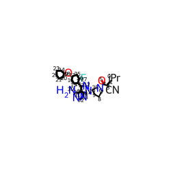 CC(C)/C=C(/C#N)C(=O)N1CCC[C@H](n2nc(-c3ccc(Oc4ccccc4)cc3F)c3c(N)ncnc32)C1